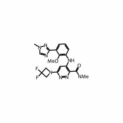 CNC(=O)c1nnc(N2CC(F)(F)C2)cc1Nc1cccc(-c2ncn(C)n2)c1OC